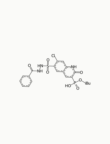 CCC(C)OP(=O)(O)c1cc2cc(S(=O)(=O)NNC(=O)c3ccccc3)c(Cl)cc2[nH]c1=O